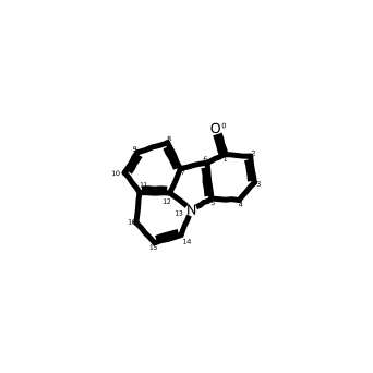 O=C1C=CCc2c1c1cccc3c1n2C=CC3